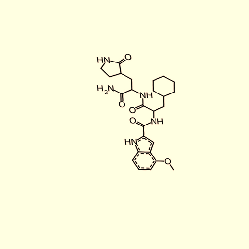 COc1cccc2[nH]c(C(=O)NC(CC3CCCCC3)C(=O)NC(CC3CCNC3=O)C(N)=O)cc12